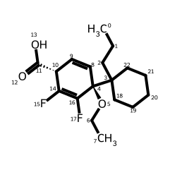 CCCC1([C@@]2(OCC)C=C[C@@H](C(=O)O)C(F)=C2F)CCCCC1